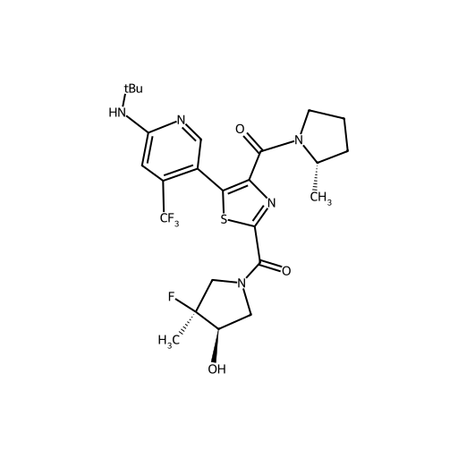 C[C@H]1CCCN1C(=O)c1nc(C(=O)N2C[C@@H](O)[C@@](C)(F)C2)sc1-c1cnc(NC(C)(C)C)cc1C(F)(F)F